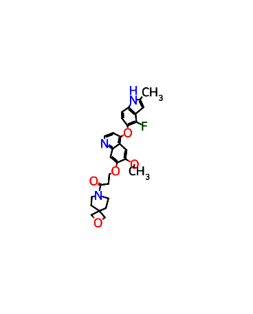 COc1cc2c(Oc3ccc4[nH]c(C)cc4c3F)ccnc2cc1OCCC(=O)N1CCC2(CC1)COC2